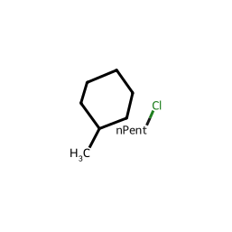 CC1CCCCC1.CCCCCCl